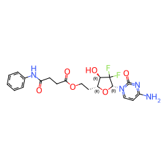 Nc1ccn([C@@H]2O[C@H](CCOC(=O)CCC(=O)Nc3ccccc3)[C@@H](O)C2(F)F)c(=O)n1